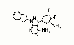 Nc1cc(-c2nn(C3Cc4ccccc4C3)c3ncnc(N)c23)cc(F)c1F